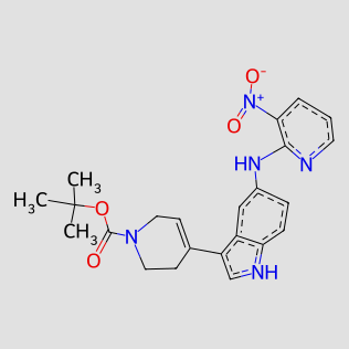 CC(C)(C)OC(=O)N1CC=C(c2c[nH]c3ccc(Nc4ncccc4[N+](=O)[O-])cc23)CC1